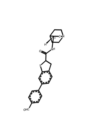 O=Cc1ccc(-c2ccc3c(c2)SC(C(=O)N[C@H]2CN4CCC2CC4)C3)cc1